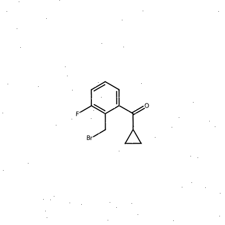 O=C(c1cccc(F)c1CBr)C1CC1